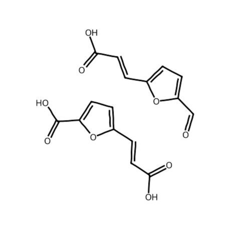 O=C(O)/C=C/c1ccc(C(=O)O)o1.O=Cc1ccc(/C=C/C(=O)O)o1